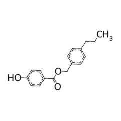 CCCc1ccc(COC(=O)c2ccc(O)cc2)cc1